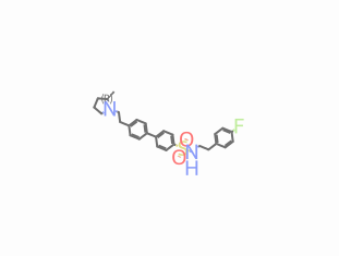 C[C@@H]1CCCN1CCc1ccc(-c2ccc(S(=O)(=O)NCCc3ccc(F)cc3)cc2)cc1